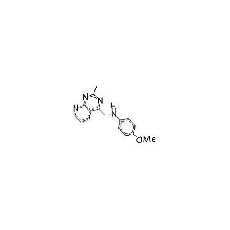 COc1ccc(NCc2nc(C)nc3ncccc23)cc1